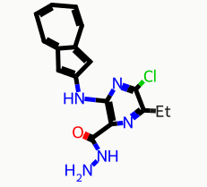 CCc1nc(C(=O)NN)c(Nc2cc3cccccc-3c2)nc1Cl